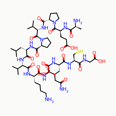 CC(C)C[C@H](NC(=O)[C@@H]1CCCN1C(=O)[C@@H](NC(=O)[C@@H]1CCCN1C(=O)[C@H](CCC(=O)O)NC(=O)[C@H](C)N)C(C)C)C(=O)N[C@H](C(=O)N[C@@H](CCCCN)C(=O)N[C@@H](CCC(N)=O)C(=O)N[C@@H](CCC(=O)O)C(=O)N[C@@H](CS)C(=O)NCC(=O)O)C(C)C